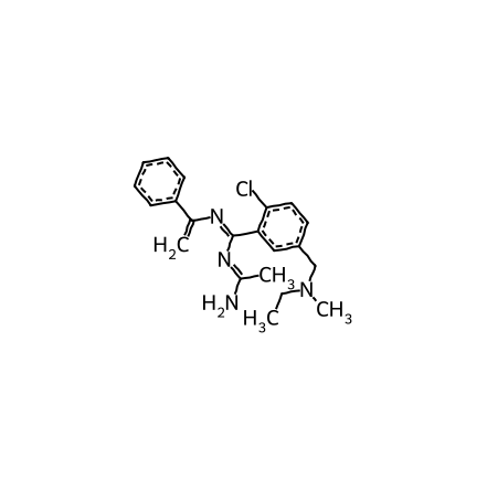 C=C(/N=C(\N=C(/C)N)c1cc(CN(C)CC)ccc1Cl)c1ccccc1